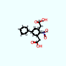 O=C(O)Cc1cc(-c2ccccc2)cc(CC(=O)O)c1I(=O)=O